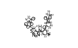 Cc1c(C(=O)ON2C(=O)CCC2=O)sc2ncnc(Nc3ccc(F)cc3O[C@@H]3CCCN(C(=O)OC(C)(C)C)C3)c12